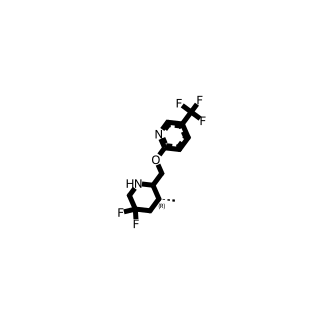 C[C@@H]1CC(F)(F)CNC1COc1ccc(C(F)(F)F)cn1